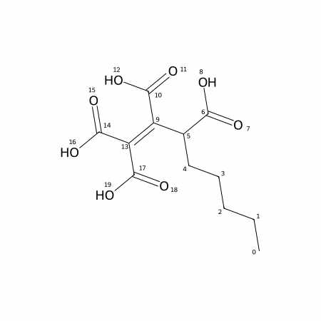 CCCCCC(C(=O)O)C(C(=O)O)=C(C(=O)O)C(=O)O